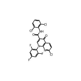 O=C(Nc1c(Cl)cccc1Cl)c1cn(-c2c(F)cc(F)cc2F)c2nc(Cl)ccc2c1=O